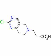 O=C(O)CCN1CCc2nc(Cl)ncc2C1